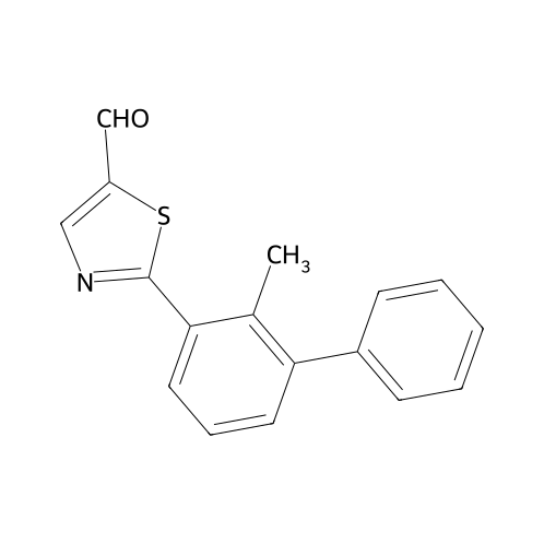 Cc1c(-c2ccccc2)cccc1-c1ncc(C=O)s1